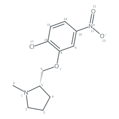 CN1CCC[C@H]1COc1cc([N+](=O)[O-])ccc1Cl